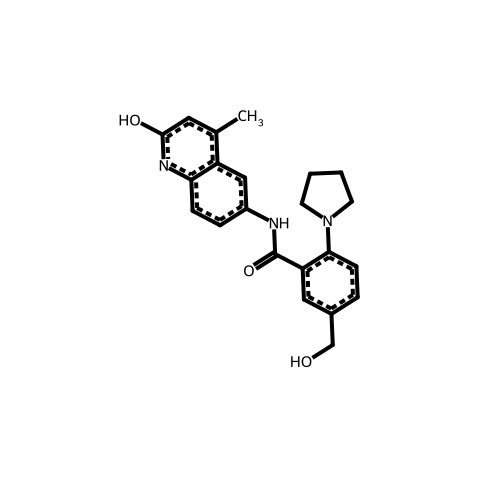 Cc1cc(O)nc2ccc(NC(=O)c3cc(CO)ccc3N3CCCC3)cc12